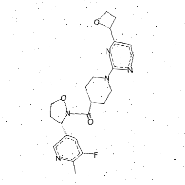 Cc1ncc([C@@H]2CCON2C(=O)C2CCN(c3nccc(C4CCO4)n3)CC2)cc1F